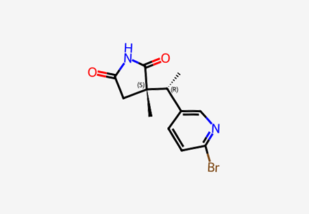 C[C@H](c1ccc(Br)nc1)[C@]1(C)CC(=O)NC1=O